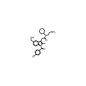 Cc1c(CC(=O)N(CCN)C2CCCCC2)c2cc(CO)ccc2n1C(=O)c1ccc(Cl)cc1